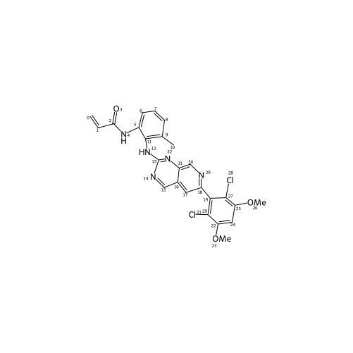 C=CC(=O)Nc1cccc(C)c1Nc1ncc2cc(-c3c(Cl)c(OC)cc(OC)c3Cl)ncc2n1